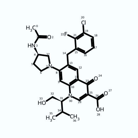 CC(=O)N[C@@H]1CCN(c2cc3c(cc2Cc2cccc(Cl)c2F)c(=O)c(C(=O)O)cn3[C@H](CO)C(C)C)C1